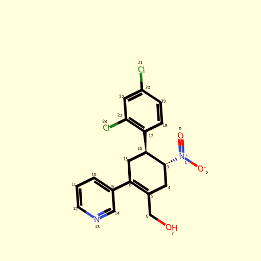 O=[N+]([O-])[C@@H]1CC(CO)=C(c2cccnc2)C[C@H]1c1ccc(Cl)cc1Cl